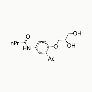 CCCC(=O)Nc1ccc(OC[C@H](O)CO)c(C(C)=O)c1